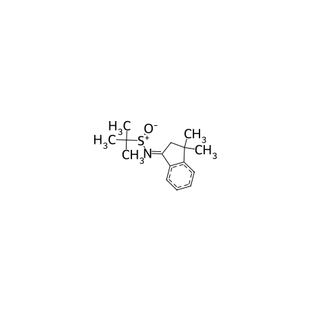 CC1(C)C/C(=N\[S@+]([O-])C(C)(C)C)c2ccccc21